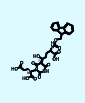 O=C(O)CC[C@@H](C(=O)O)N1C(=O)NC(=O)/C(=C(/O)CCC(NC(=O)OCC2c3ccccc3-c3ccccc32)C(=O)O)C1=O